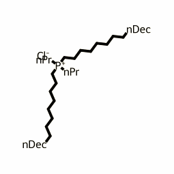 CCCCCCCCCCCCCCCCCC[P+](CCC)(CCC)CCCCCCCCCCCCCCCCCC.[Cl-]